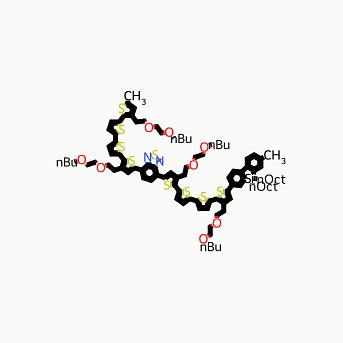 CCCCCCCC[Si]1(CCCCCCCC)c2cc(C)ccc2-c2ccc(-c3cc(CCOCCOCCCC)c(-c4ccc(-c5ccc(-c6sc(-c7ccc(-c8cc(CCOCCOCCCC)c(-c9ccc(-c%10ccc(-c%11sc(C)cc%11CCOCCOCCCC)s%10)s9)s8)c8nsnc78)cc6CCOCCOCCCC)s5)s4)s3)cc21